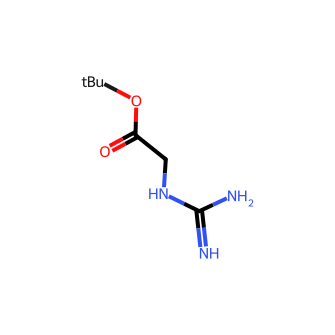 CC(C)(C)OC(=O)CNC(=N)N